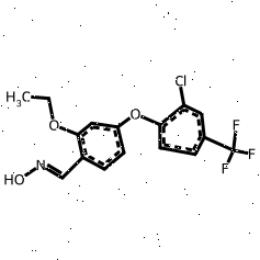 CCOc1cc(Oc2ccc(C(F)(F)F)cc2Cl)ccc1C=NO